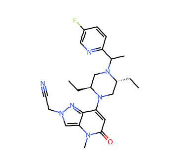 CC[C@H]1CN(C(C)c2ccc(F)cn2)[C@H](CC)CN1c1cc(=O)n(C)c2cn(CC#N)nc12